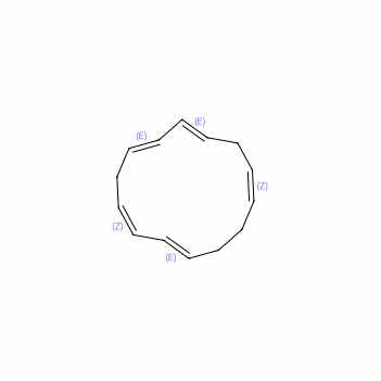 C1=C\C/C=C/C=C/C/C=C\CC/C=C/1